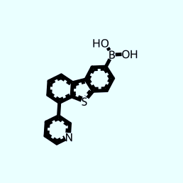 OB(O)c1ccc2sc3c(-c4cccnc4)cccc3c2c1